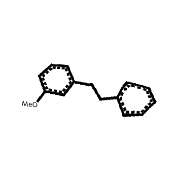 COc1cccc(CCc2ccccc2)c1